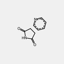 O=C1CCC(=O)N1.c1ccncc1